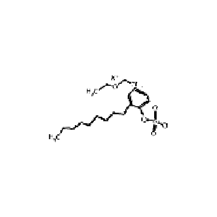 CCCCCCCCCc1ccccc1OS(=O)(=O)[O-].CCOCC.[K+]